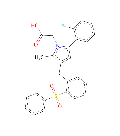 Cc1c(Cc2ccccc2S(=O)(=O)c2ccccc2)cc(-c2ccccc2F)n1CC(=O)O